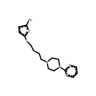 CC(=O)c1ccc(SCCCCN2CCN(c3ncccn3)CC2)s1